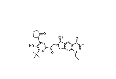 CCOc1cc2c(cc1C(=O)NC)C(=N)N(CC(=O)c1cc(N3CCCC3=O)c(O)c(C(C)(C)C)c1)C2